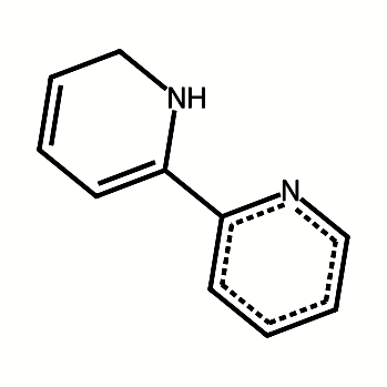 C1=CCNC(c2ccccn2)=C1